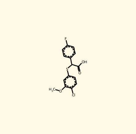 COc1cc(SC(C(=O)O)c2ccc(F)cc2)ccc1Cl